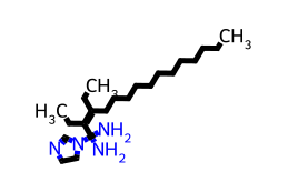 CCCCCCCCCCCCC(CC)=C(CC)C(N)(N)N1C=NCC1